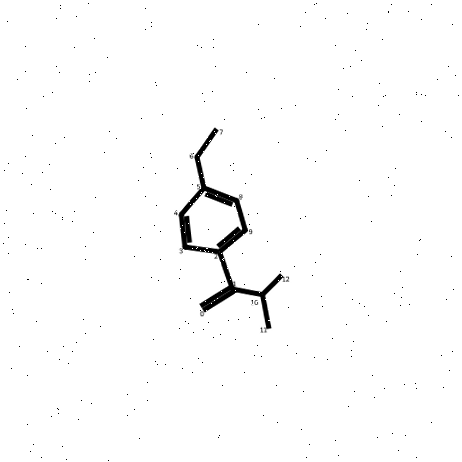 C=C(c1ccc(CC)cc1)C(C)C